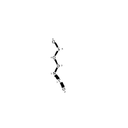 O=C=NOOSCl